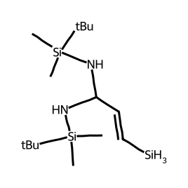 CC(C)(C)[Si](C)(C)NC(C=C[SiH3])N[Si](C)(C)C(C)(C)C